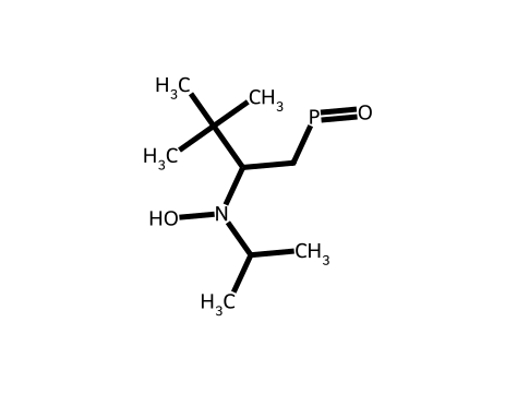 CC(C)N(O)C(CP=O)C(C)(C)C